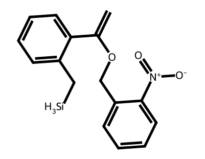 C=C(OCc1ccccc1[N+](=O)[O-])c1ccccc1C[SiH3]